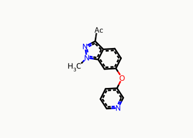 CC(=O)c1nn(C)c2cc(Oc3cccnc3)ccc12